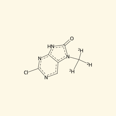 [2H]C([2H])([2H])n1c(=O)[nH]c2nc(Cl)ncc21